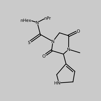 CCCCCCN(CCC)C(=S)N1CC(=O)N(C)C(C2=CCNC2)C1=O